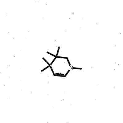 CN1C=CC(C)(C)C(C)(C)C1